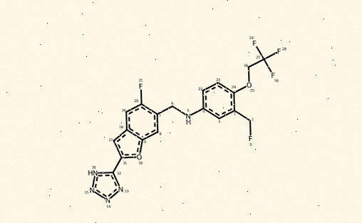 FCc1cc(NCc2cc3oc(-c4nnn[nH]4)cc3cc2F)ccc1OCC(F)(F)F